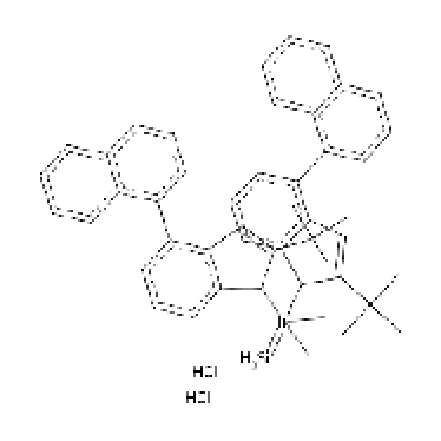 CC(C)(C)C1=Cc2c(-c3cccc4ccccc34)cccc2[CH]1[Ti]([CH3])([CH3])(=[SiH2])[CH]1C(C(C)(C)C)=Cc2c(-c3cccc4ccccc34)cccc21.Cl.Cl